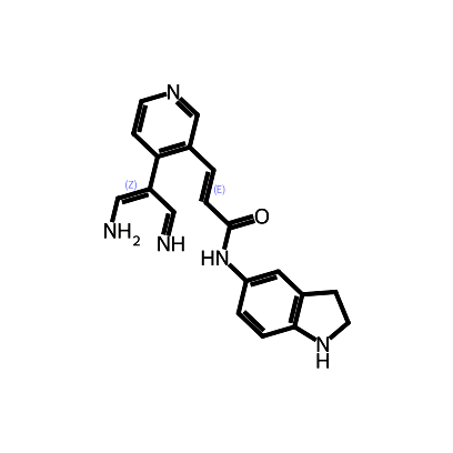 N=C/C(=C\N)c1ccncc1/C=C/C(=O)Nc1ccc2c(c1)CCN2